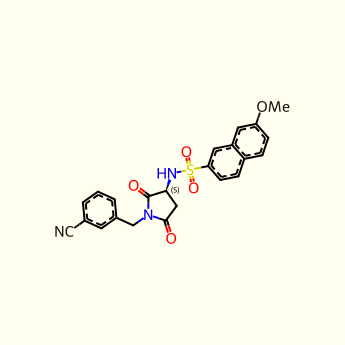 COc1ccc2ccc(S(=O)(=O)N[C@H]3CC(=O)N(Cc4cccc(C#N)c4)C3=O)cc2c1